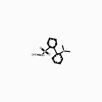 CN(C)c1ccccc1-c1ccccc1S(=O)(=O)NC=O